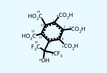 O=C(O)c1c(C(=O)O)c(C(=O)O)c(C(O)(C(F)(F)F)C(F)(F)F)c(C(=O)O)c1C(=O)O